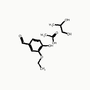 CC(=O)O.CC(O)CO.CCOc1cc(C=O)ccc1O